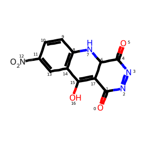 O=C1N=NC(=O)C2Nc3ccc([N+](=O)[O-])cc3C(O)=C12